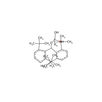 CC(C)(C)c1cccc(C(C)(C)C)c1C(OP(O)O)c1c(C(C)(C)C)cccc1C(C)(C)C